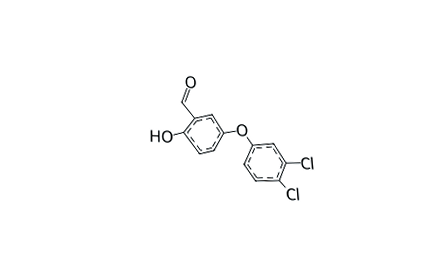 O=Cc1cc(Oc2ccc(Cl)c(Cl)c2)ccc1O